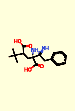 CC(C)(C)C(C[C@@](N)(C(=N)Cc1ccccc1)C(=O)O)C(=O)O